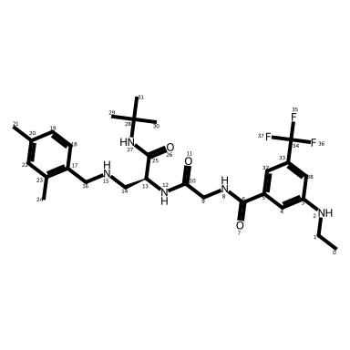 CCNc1cc(C(=O)NCC(=O)N[C@@H](CNCc2ccc(C)cc2C)C(=O)NC(C)(C)C)cc(C(F)(F)F)c1